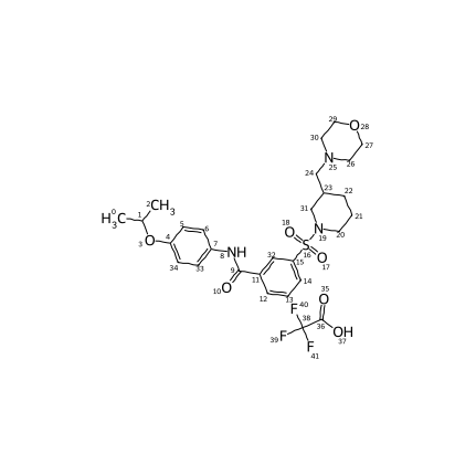 CC(C)Oc1ccc(NC(=O)c2cccc(S(=O)(=O)N3CCCC(CN4CCOCC4)C3)c2)cc1.O=C(O)C(F)(F)F